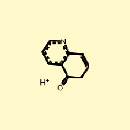 O=C1CC=Cc2ncccc21.[H+]